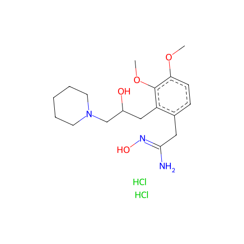 COc1ccc(CC(N)=NO)c(CC(O)CN2CCCCC2)c1OC.Cl.Cl